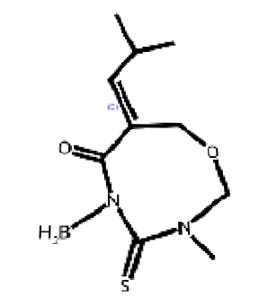 BN1C(=O)/C(=C/C(C)C)COCN(C)C1=S